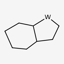 C1CC[CH]2[W][CH2]CC2C1